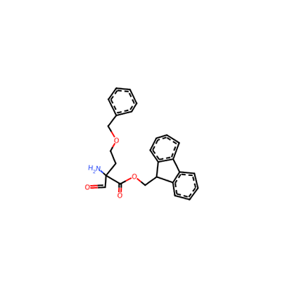 NC(C=O)(CCOCc1ccccc1)C(=O)OCC1c2ccccc2-c2ccccc21